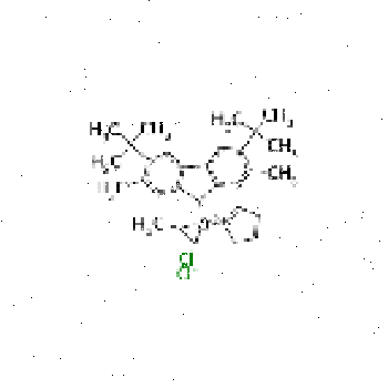 Cc1cc2c(cc1C(C)(C)C)-c1cc(C(C)(C)C)c(C)cc1[CH]2[Zr+2]1([C]2=CC=CC2)[CH2][CH]1C.[Cl-].[Cl-]